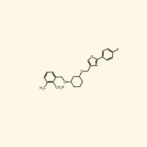 Cc1cccc(CO[C@@H]2CCC[C@H](OCc3coc(-c4ccc(F)cc4)n3)C2)c1C(=O)O